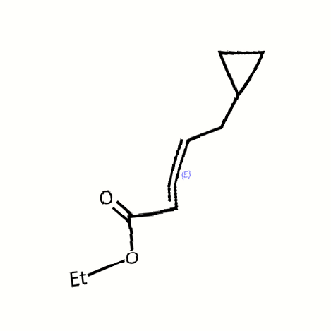 CCOC(=O)/C=C/CC1CC1